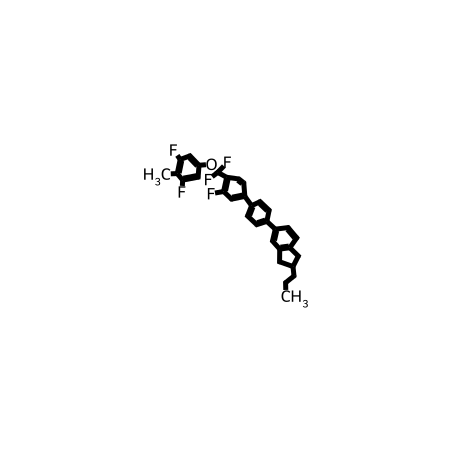 CCCC1Cc2ccc(-c3ccc(-c4ccc(C(F)(F)Oc5cc(F)c(C)c(F)c5)c(F)c4)cc3)cc2C1